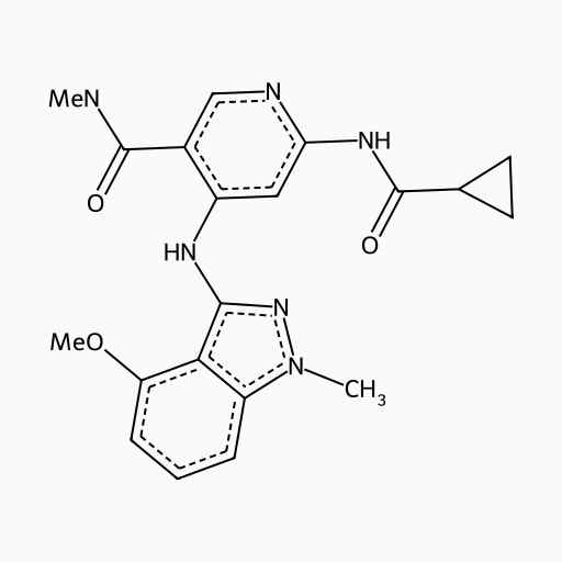 CNC(=O)c1cnc(NC(=O)C2CC2)cc1Nc1nn(C)c2cccc(OC)c12